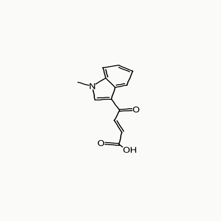 Cn1cc(C(=O)C=CC(=O)O)c2ccccc21